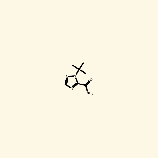 CC(C)(C)n1ncnc1C(N)=O